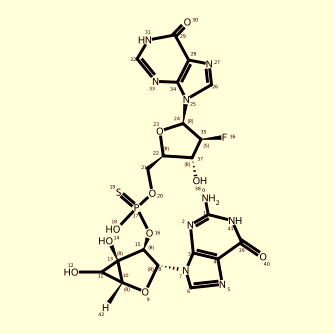 Nc1nc2c(ncn2[C@@H]2O[C@@H]3C(O)[C@]3(O)[C@H]2OP(O)(=S)OC[C@H]2O[C@@H](n3cnc4c(=O)[nH]cnc43)[C@@H](F)[C@@H]2O)c(=O)[nH]1